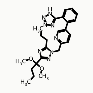 CCCc1nc(C(CCC)(OC)OC)nn1Cc1ccc(-c2ccccc2-c2nnn[nH]2)cn1